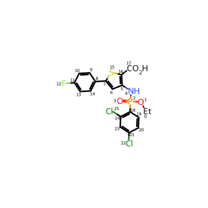 CCOP(=O)(Nc1cc(-c2ccc(F)cc2)sc1C(=O)O)c1ccc(Cl)cc1Cl